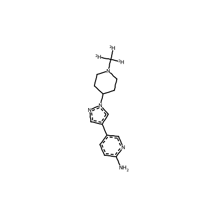 [2H]C([2H])([2H])N1CCC(n2cc(-c3ccc(N)nc3)cn2)CC1